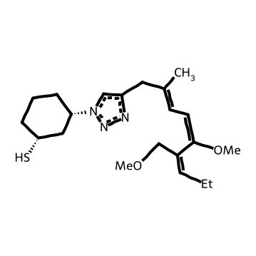 CC/C=C(COC)\C(=C/C=C(C)Cc1cn([C@H]2CCC[C@@H](S)C2)nn1)OC